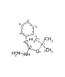 CC(C)(C)OC(=O)NN.c1ccccc1